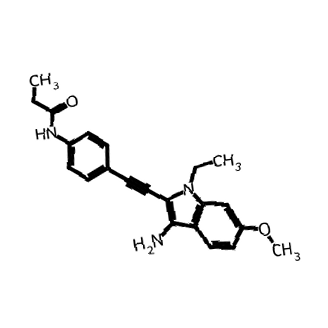 CCC(=O)Nc1ccc(C#Cc2c(N)c3ccc(OC)cc3n2CC)cc1